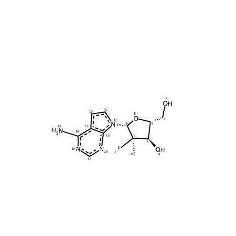 C[C@@]1(F)[C@H](O)[C@@H](CO)O[C@H]1n1ccc2c(N)ncnc21